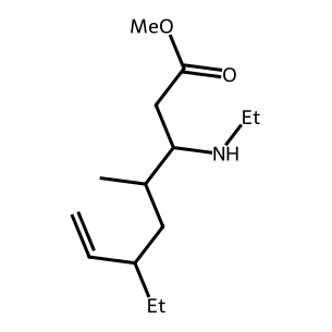 C=CC(CC)CC(C)C(CC(=O)OC)NCC